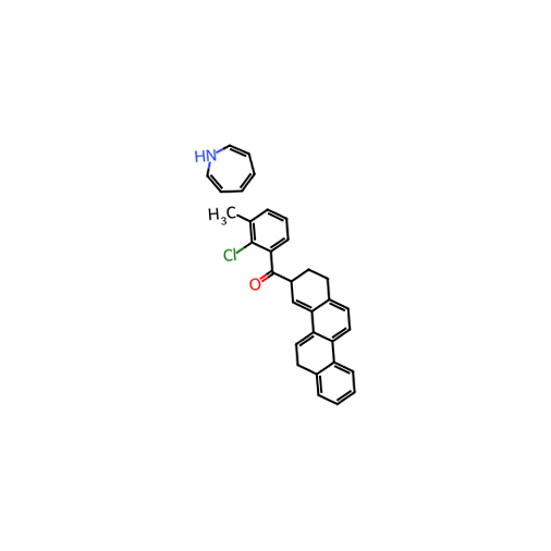 C1=CC=CNC=C1.Cc1cccc(C(=O)C2C=c3c(ccc4c3=CCc3ccccc3-4)CC2)c1Cl